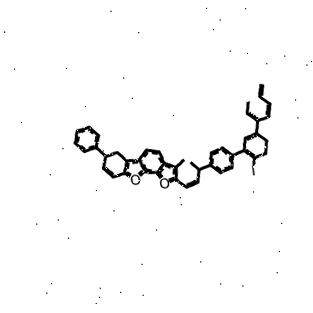 C=C/C=C\C(=C/C)C1=CC(c2ccc(C(C)/C=C\c3oc4c(ccc5c6c(oc54)C=CC(c4ccccc4)C6)c3C)cc2)=C(I)CC1